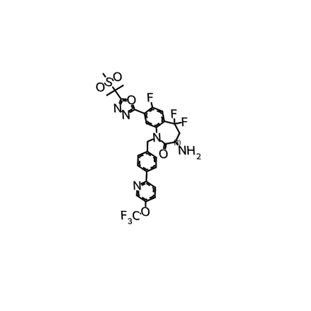 CC(C)(c1nnc(-c2cc3c(cc2F)C(F)(F)C[C@@H](N)C(=O)N3Cc2ccc(-c3ccc(OC(F)(F)F)cn3)cc2)o1)S(C)(=O)=O